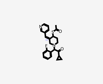 CC(=O)SC1CCN(C(C(=O)C2CC2)c2ccccc2F)C/C1=C/c1cccnc1